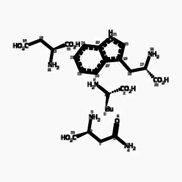 CC[C@H](C)[C@H](N)C(=O)O.NC(=O)C[C@H](N)C(=O)O.N[C@@H](CC(=O)O)C(=O)O.N[C@@H](Cc1c[nH]c2ccccc12)C(=O)O